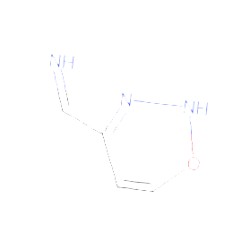 N=CC1=NNOC=C1